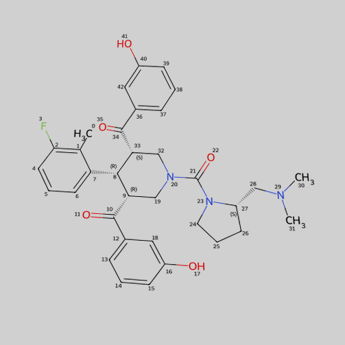 Cc1c(F)cccc1[C@H]1[C@@H](C(=O)c2cccc(O)c2)CN(C(=O)N2CCC[C@H]2CN(C)C)C[C@H]1C(=O)c1cccc(O)c1